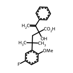 C=C(c1ccccc1)C(O)(CC(C)(C)c1cc(F)ccc1OC)C(=O)O